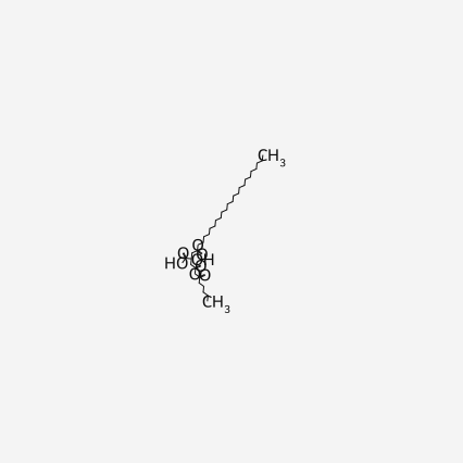 CCCCCCCCCCCCCCCCCCCCCCOC(=O)CC(O)(CC(=O)OC(=O)CCCCC)C(=O)O